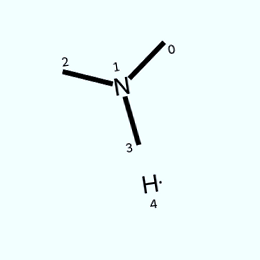 CN(C)C.[H]